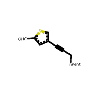 CCCCCCC#Cc1csc(C=O)c1